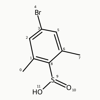 Cc1cc(Br)cc(C)c1S(=O)O